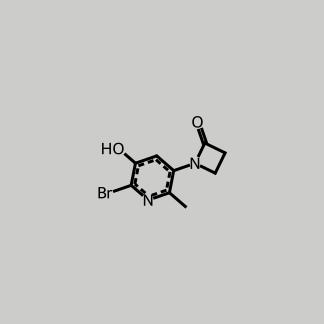 Cc1nc(Br)c(O)cc1N1CCC1=O